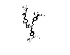 CC(C)c1ccc(CCC(CCc2ccc(C(C)C)cc2)NCCC2CCC(CCNCCCN)CC2)cc1